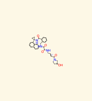 O=C(NC/C=C/C(=O)N1CC[C@H](O)C1)C(=O)NCc1ccccc1C(=O)NC1(c2cccc3ccccc23)CC1